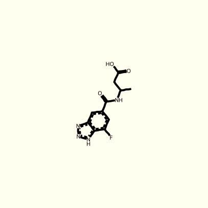 CC(CC(=O)O)NC(=O)c1cc(F)c2[nH]nnc2c1